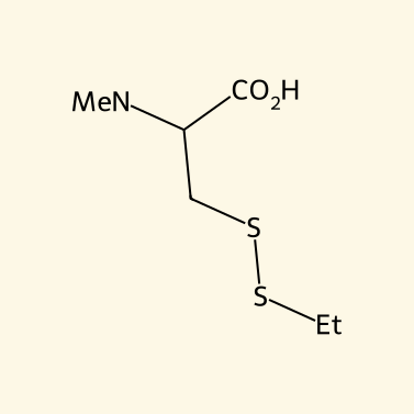 CCSSCC(NC)C(=O)O